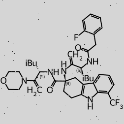 C=C(N[C@]1(C(=O)N[C@H](C(=C)N2CCOCC2)C(C)CC)CCc2[nH]c3c(C(F)(F)F)cccc3c2C1)[C@@H](NC(=O)Cc1ccccc1F)C(C)CC